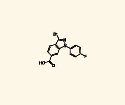 O=C(O)c1ccc2c(Br)nn(-c3ccc(F)cc3)c2c1